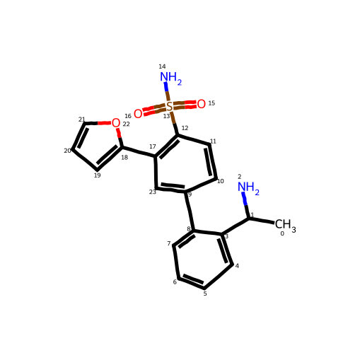 CC(N)c1ccccc1-c1ccc(S(N)(=O)=O)c(-c2ccco2)c1